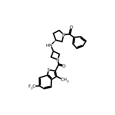 Cc1c(C(=O)N2CC(N[C@H]3CCN(C(=O)c4ccccc4)C3)C2)sc2cc(C(F)(F)F)ccc12